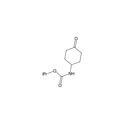 CC(C)OC(=O)NC1CCC(=O)CC1